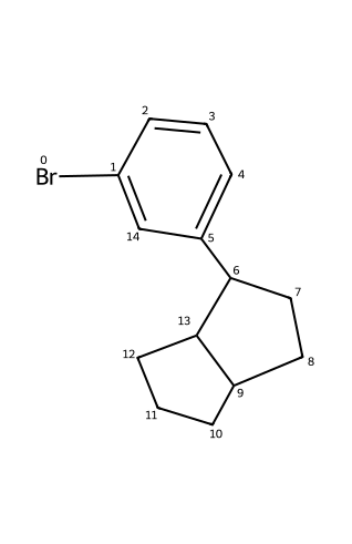 Brc1cccc(C2CCC3CCCC32)c1